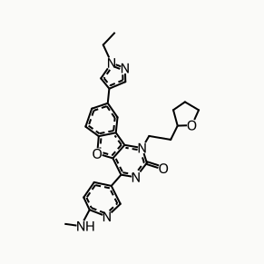 CCn1cc(-c2ccc3oc4c(-c5ccc(NC)nc5)nc(=O)n(CCC5CCCO5)c4c3c2)cn1